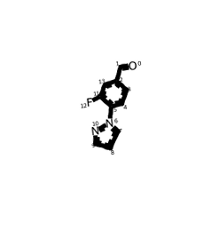 O=Cc1ccc(-n2cccn2)c(F)c1